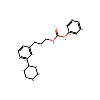 O=C(OCCCc1cccc(C2CCCCC2)c1)Oc1ccccc1